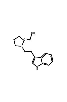 OC[C@@H]1CCCN1CCc1c[nH]c2ncccc12